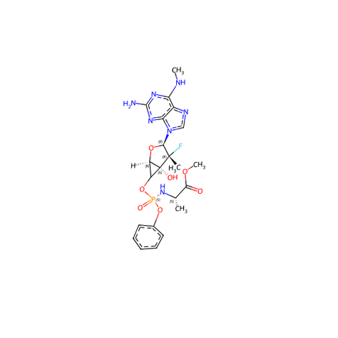 CNc1nc(N)nc2c1ncn2[C@@H]1O[C@@H]2C(O[P@@](=O)(N[C@@H](C)C(=O)OC)Oc3ccccc3)[C@]2(O)[C@@]1(C)F